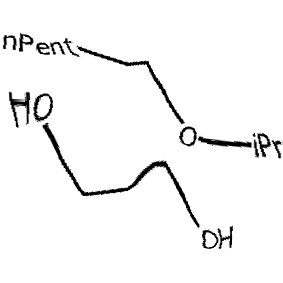 CCCCCCOC(C)C.OCCO